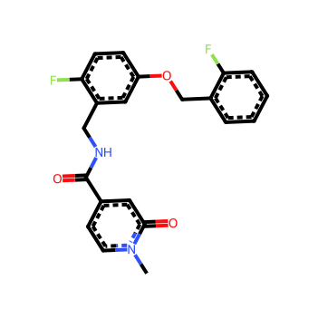 Cn1ccc(C(=O)NCc2cc(OCc3ccccc3F)ccc2F)cc1=O